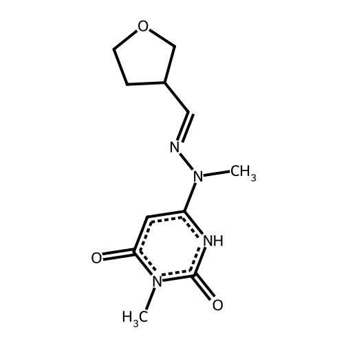 CN(/N=C/C1CCOC1)c1cc(=O)n(C)c(=O)[nH]1